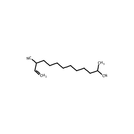 C=CC(C#N)CCCCCCCCC(C)C#N